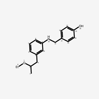 CCOC(C)Cc1cccc(NCc2ccc(O)cc2)c1